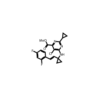 COC(=O)c1nc(C2CC2)nc(NC2(C=Cc3ccc(F)cc3F)CC2)c1Cl